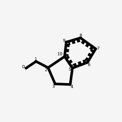 CC[C]1CCc2ccccc21